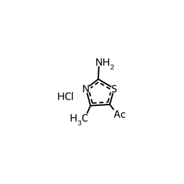 CC(=O)c1sc(N)nc1C.Cl